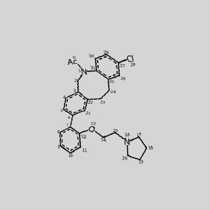 CC(=O)N1Cc2ccc(-c3ccccc3OCCN3CCCC3)cc2CCc2cc(Cl)ccc21